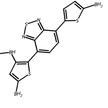 Bc1ccc(-c2ccc(-c3sc(B)cc3BC)c3nsnc23)s1